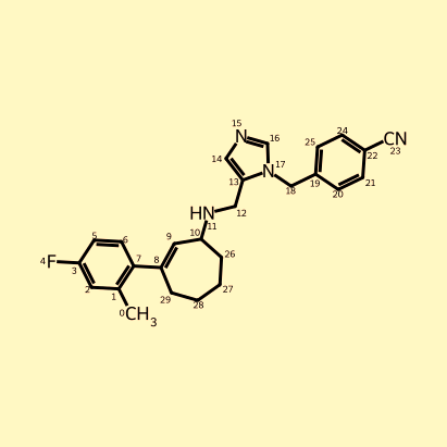 Cc1cc(F)ccc1C1=CC(NCc2cncn2Cc2ccc(C#N)cc2)CCCC1